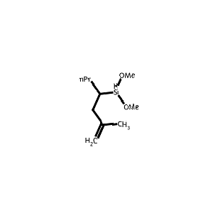 C=C(C)CC(CCC)[SiH](OC)OC